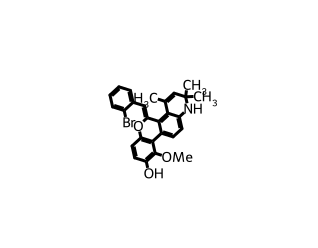 COc1c(O)ccc2c1-c1ccc3c(c1/C(=C/c1ccccc1Br)O2)C(C)=CC(C)(C)N3